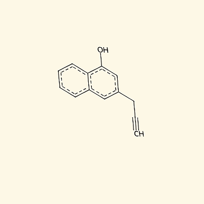 C#CCc1cc(O)c2ccccc2c1